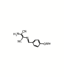 COc1ccc(/C=N/C(C#N)=C(/N)C#N)cc1